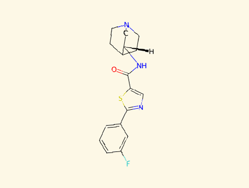 O=C(N[C@H]1CN2CCC1CC2)c1cnc(-c2cccc(F)c2)s1